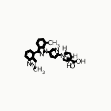 Cc1cccc2c(-c3cccc4nn(C)cc34)nn(-c3ccc(N4C[C@@H]5CC[C@H]4C[C@@H]5C(=O)O)nc3)c12